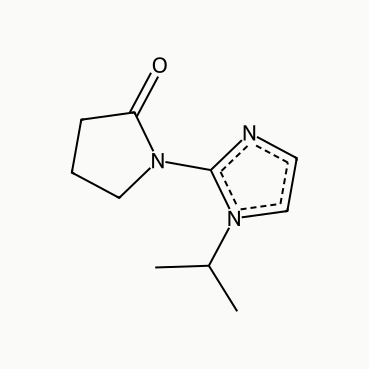 CC(C)n1ccnc1N1CCCC1=O